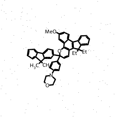 CCC1(CC)c2ccccc2-c2c1c1c(c3cc(OC)ccc23)OC(c2ccc(N3CCOCC3)cc2)(c2ccc3c(c2)C(C)(C)c2ccccc2-3)C=C1